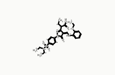 CCOc1ccccc1NC=C1C(=O)N(c2ccc(S(=O)(=O)N(CC)CC)cc2)N=C1C(CC)C(=O)O